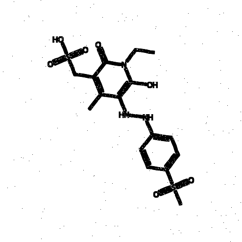 CCn1c(O)c(NNc2ccc(S(C)(=O)=O)cc2)c(C)c(CS(=O)(=O)O)c1=O